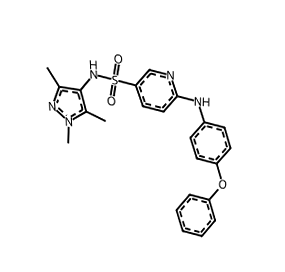 Cc1nn(C)c(C)c1NS(=O)(=O)c1ccc(Nc2ccc(Oc3ccccc3)cc2)nc1